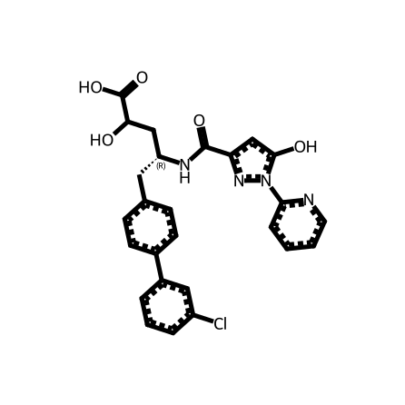 O=C(N[C@H](Cc1ccc(-c2cccc(Cl)c2)cc1)CC(O)C(=O)O)c1cc(O)n(-c2ccccn2)n1